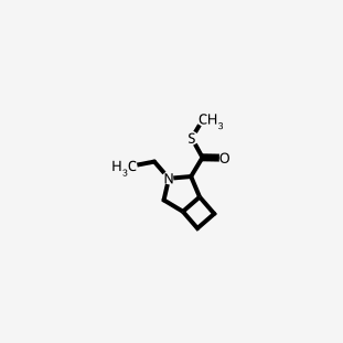 CCN1CC2CCC2C1C(=O)SC